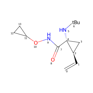 C=C[C@@H]1C[C@]1(NC(C)(C)C)C(=O)NOC1CC1